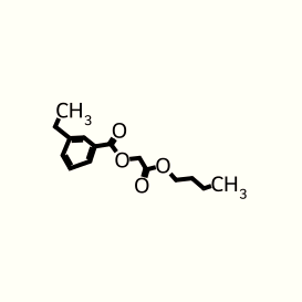 CCCCOC(=O)COC(=O)c1cccc(CC)c1